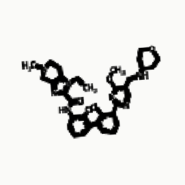 CCn1c(C(=O)Nc2cccc(-c3cccc(-c4ncc(CNC5CCOCC5)c(OC)n4)c3Cl)c2Cl)nc2c1CCN(C)C2